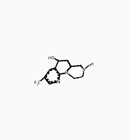 CCCN1CCN2c3ncc(C(F)(F)F)cc3C(O)CC2C1